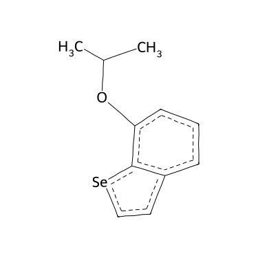 CC(C)Oc1cccc2cc[se]c12